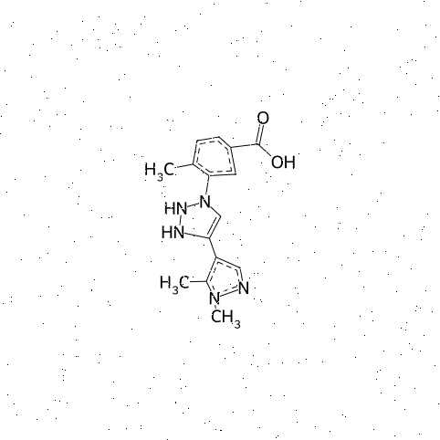 Cc1ccc(C(=O)O)cc1N1C=C(c2cnn(C)c2C)NN1